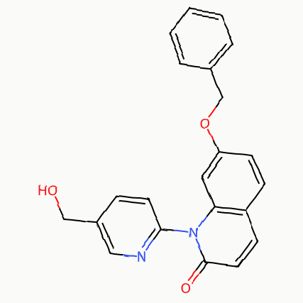 O=c1ccc2ccc(OCc3ccccc3)cc2n1-c1ccc(CO)cn1